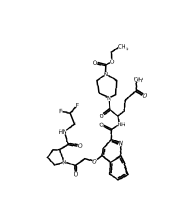 CCOC(=O)N1CCN(C(=O)C(CCC(=O)O)NC(=O)c2cc(OCC(=O)N3CCCC3C(=O)NCC(F)F)c3ccccc3n2)CC1